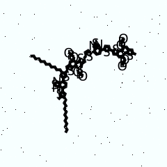 CCCCCCCCCCCCc1cc(-c2ccc(-c3cc(CCCCCCCCCCCC)c(-c4cc5cc(OB=O)c6c7sc(-c8ccc(-c9ccc(-c%10ccc(-c%11cc%12cc(OB=O)c%13c%14sc(C)cc%14cc(OB=O)c%13c%12s%11)s%10)c%10nsnc9%10)s8)cc7cc(OB=O)c6c5s4)s3)c3nsnc23)sc1C